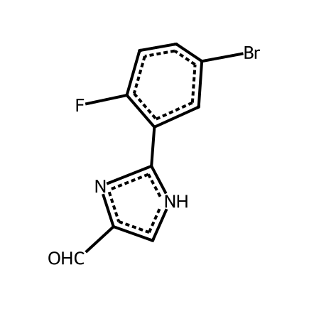 O=Cc1c[nH]c(-c2cc(Br)ccc2F)n1